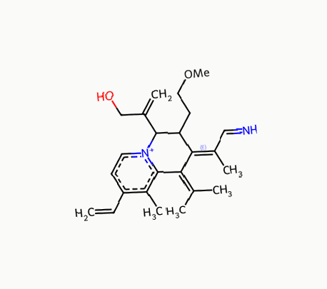 C=Cc1cc[n+]2c(c1C)C(=C(C)C)/C(=C(\C)C=N)C(CCOC)C2C(=C)CO